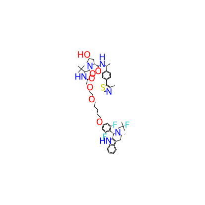 Cc1ncsc1-c1ccc([C@H](C)NC(=O)[C@@H]2C[C@@H](O)CN2C(=O)C(NC(=O)COCCOCCCCCOc2cc(F)c([C@@H]3c4[nH]c5ccccc5c4C[C@@H](C)N3CC(C)(C)F)c(F)c2)C(C)(C)C)cc1